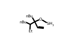 C=CC(CCCC)(O[SiH3])C(CC)CCCC